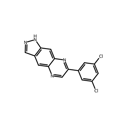 Clc1cc(Cl)cc(-c2cnc3cc4cn[nH]c4cc3n2)c1